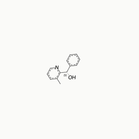 Cc1cccnc1[C@@H](O)c1ccccc1